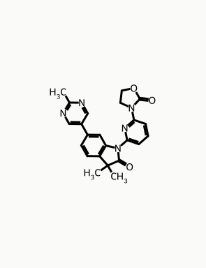 Cc1ncc(-c2ccc3c(c2)N(c2cccc(N4CCOC4=O)n2)C(=O)C3(C)C)cn1